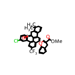 CC1(C)CC=CC2=C1CC(=C=O)c1c2ccc2cc(C(F)(F)F)cc(-c3cccc(Cl)c3)c12.COC(=O)C1=COc2ccccc2C1